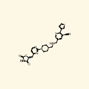 N#Cc1cc(CNCC2CCN(c3nccc(/C=C4\SC(=O)NC4=O)n3)CC2)cnc1-c1ccsc1